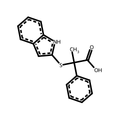 CC(Sc1cc2ccccc2[nH]1)(C(=O)O)c1ccccc1